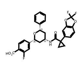 O=C(O)c1ccc([C@H]2C[C@@H](NC(=O)C3(c4ccc5c(c4)OC(F)(F)O5)CC3)C[C@@H](c3ccccc3)O2)cc1F